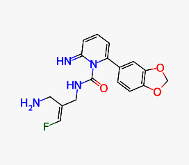 N=c1cccc(-c2ccc3c(c2)OCO3)n1C(=O)NC/C(=C/F)CN